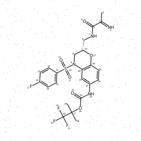 CC(=N)C(=O)NC[C@H]1CN(S(=O)(=O)c2ccc(F)cc2)c2cc(NC(=O)OC(C)(C)C(F)(F)F)ccc2O1